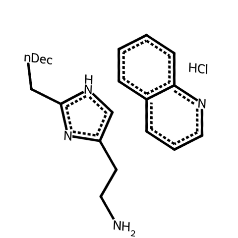 CCCCCCCCCCCc1nc(CCN)c[nH]1.Cl.c1ccc2ncccc2c1